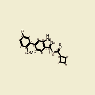 COc1ccc(F)cc1-c1ccc2c(NC(=O)C3CCC3)n[nH]c2c1